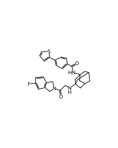 O=C(NC12CC3CC(CC(NCC(=O)N4Cc5ccc(F)cc5C4)(C3)C1)C2)c1ccc(-c2cccs2)cc1